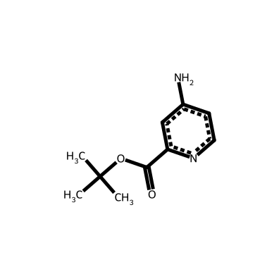 CC(C)(C)OC(=O)c1cc(N)ccn1